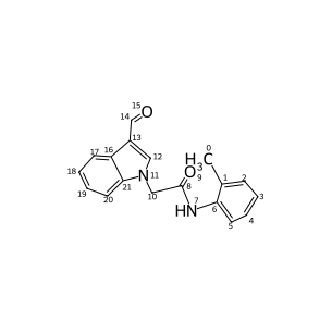 Cc1ccccc1NC(=O)Cn1cc(C=O)c2ccccc21